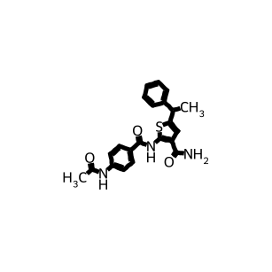 CC(=O)Nc1ccc(C(=O)Nc2sc(C(C)c3ccccc3)cc2C(N)=O)cc1